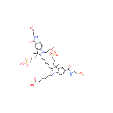 COCCNC(=O)c1ccc2c(c1)C(C)(CCCS(=O)(=O)O)C(/C=C/C=C/C=C1/N(CCCCCC(=O)O)c3ccc(C(=O)NCCOC)cc3C1(C)CCCS(=O)(=O)[O-])=[N+]2CCOC